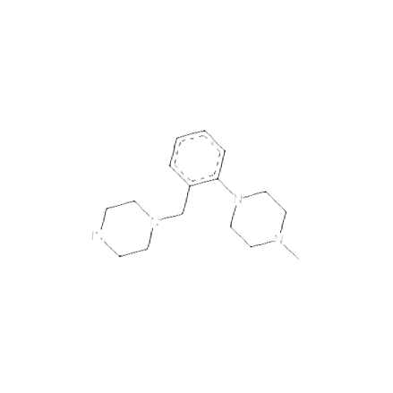 CN1CCN(c2ccccc2CN2CCNCC2)CC1